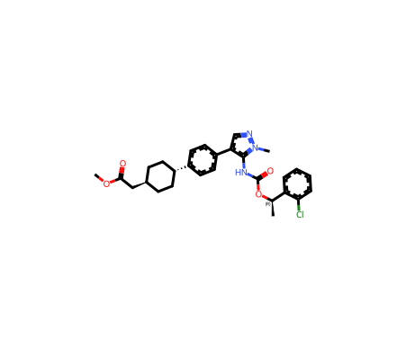 COC(=O)C[C@H]1CC[C@H](c2ccc(-c3cnn(C)c3NC(=O)O[C@H](C)c3ccccc3Cl)cc2)CC1